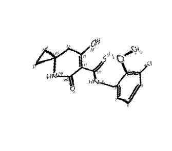 COc1c(Cl)cccc1NC(=S)C1=C(O)CC2(CC2)NC1=O